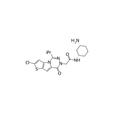 CC(C)c1nn(CC(=O)N[C@H]2CCC[C@@H](N)C2)c(=O)c2cc3sc(Cl)cc3n12